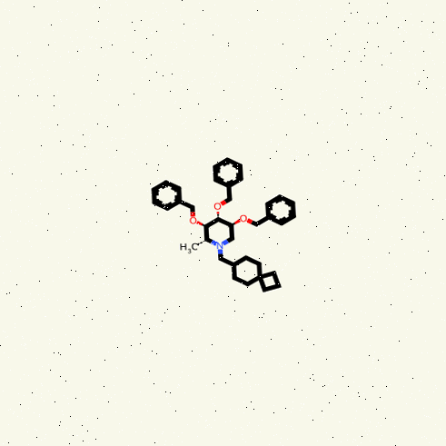 C[C@@H]1[C@@H](OCc2ccccc2)[C@H](OCc2ccccc2)[C@@H](OCc2ccccc2)CN1CC1CCC2(CCC2)CC1